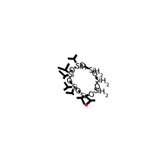 CC(C)[SiH]1O[SiH2]O[SiH2]O[SiH2]O[Si](C(C)C)(C(C)C)O[Si](C(C)C)(C(C)C)O[Si](C(C)C)(C(C)C)O1